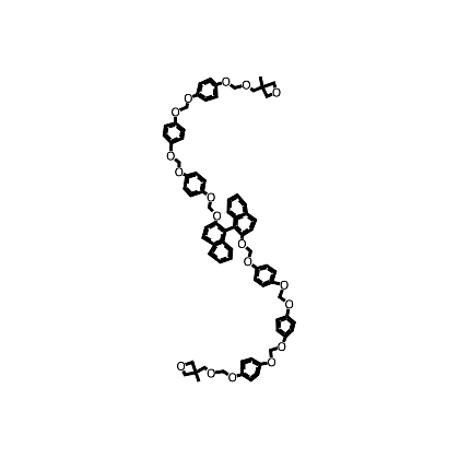 CC1(COCOc2ccc(OCOc3ccc(OCOc4ccc(OCOc5ccc6ccccc6c5-c5c(OCOc6ccc(OCOc7ccc(OCOc8ccc(OCOCC9(C)COC9)cc8)cc7)cc6)ccc6ccccc56)cc4)cc3)cc2)COC1